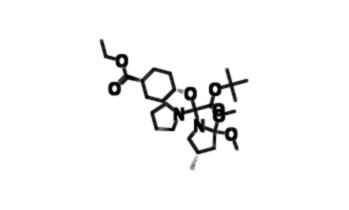 CCOC(=O)[C@H]1CC[C@H](OC(C(=O)OC(C)(C)C)(N2CCCC2)N2C[C@@H](C)CC2(OC)OC)CC1